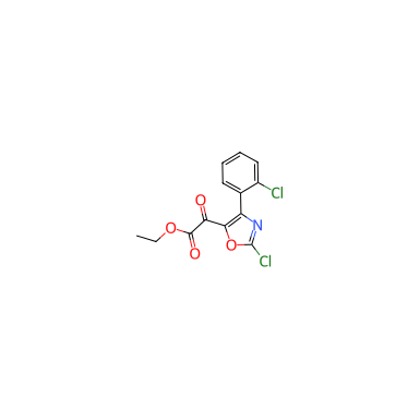 CCOC(=O)C(=O)c1oc(Cl)nc1-c1ccccc1Cl